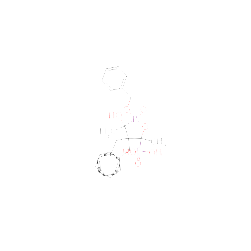 CC1(P(=O)(O)O)OP(=O)(OCc2ccccc2)C(C)(O)C1(Cc1ccccc1)Cc1ccccc1